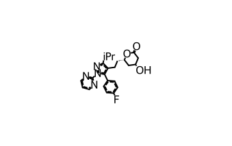 CC(C)c1nn(-c2ncccn2)c(-c2ccc(F)cc2)c1CC[C@H]1C[C@H](O)CC(=O)O1